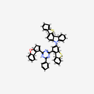 C1=C(c2nc(-c3ccccc3)nc(-c3cc(-n4c5ccccc5c5c6sc7ccccc7c6ccc54)cc4sc5ccccc5c34)n2)c2c(oc3ccccc23)C1